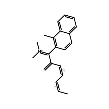 C=C(/C=C\C=C/C)C(c1ccc2ccccc2c1C)=[N+](C)C